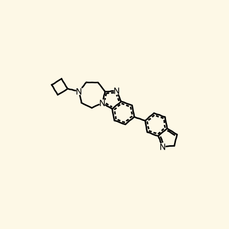 C1=c2ccc(-c3ccc4c(c3)nc3n4CCN(C4CCC4)CC3)cc2=NC1